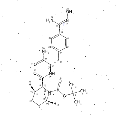 CC(C)(C)OC(=O)N1[C@@H]2CC[C@@H](C2)[C@H]1C(=O)N[C@@H](Cc1ccc(/C(N)=N/O)cc1)C(N)=O